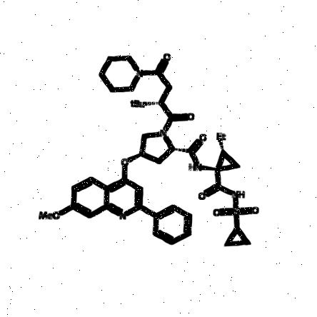 CC[C@@H]1C[C@]1(NC(=O)[C@@H]1C[C@@H](Oc2cc(-c3ccccc3)nc3cc(OC)ccc23)CN1C(=O)[C@@H](CC(=O)N1CCCCC1)C(C)(C)C)C(=O)NS(=O)(=O)C1CC1